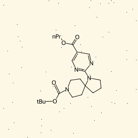 CCCOC(=O)c1cnc(N2CCCC23CCN(C(=O)OC(C)(C)C)CC3)nc1